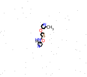 Cc1cc(Oc2csc(C(=O)N[C@H]3CN4CCC3CC4)c2)ccn1